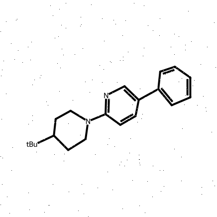 CC(C)(C)C1CCN(c2ccc(-c3ccccc3)cn2)CC1